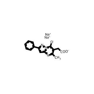 Cc1nc2cc(-c3ccccc3)nn2c([O-])c1CC(=O)[O-].[Na+].[Na+]